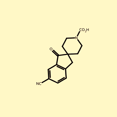 N#Cc1ccc2c(c1)C(=O)C1(CCN(C(=O)O)CC1)C2